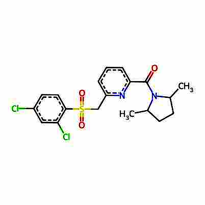 CC1CCC(C)N1C(=O)c1cccc(CS(=O)(=O)c2ccc(Cl)cc2Cl)n1